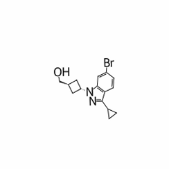 OC[C@H]1C[C@H](n2nc(C3CC3)c3ccc(Br)cc32)C1